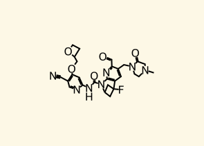 CN1CCN(Cc2cc3c(nc2C=O)N(C(=O)Nc2cc(OCC4CCO4)c(C#N)cn2)C2CC3(F)C2)C(=O)C1